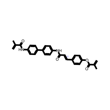 C=C(C)C(=O)Nc1ccc(-c2ccc(NC(=O)/C=C/c3ccc(OC(=O)C(=C)C)cc3)cc2)cc1